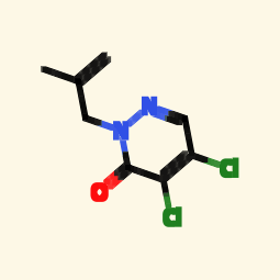 C=C(C)Cn1ncc(Cl)c(Cl)c1=O